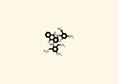 C#Cc1cc(C)cc(C)c1Nc1ccc(Nc2c(CC)cc(C)cc2CC)c2c1C(=O)c1ccccc1C2=O